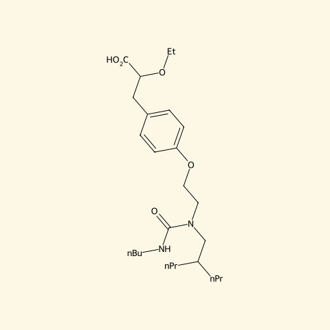 CCCCNC(=O)N(CCOc1ccc(CC(OCC)C(=O)O)cc1)CC(CCC)CCC